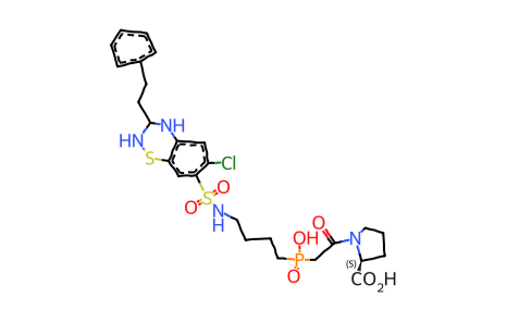 O=C(O)[C@@H]1CCCN1C(=O)CP(=O)(O)CCCCNS(=O)(=O)c1cc2c(cc1Cl)NC(CCc1ccccc1)NS2